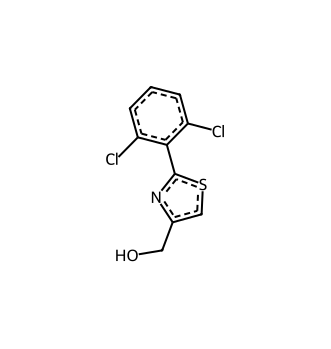 OCc1csc(-c2c(Cl)cccc2Cl)n1